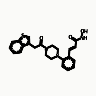 O=C(/C=C/c1ccccc1N1CCN(C(=O)Cc2csc3ccccc23)CC1)NO